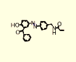 C=CC(=O)NCc1ccc(/N=N/c2ccc(O)c(C(=O)c3ccccc3)c2)cc1